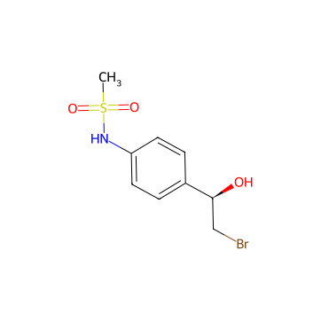 CS(=O)(=O)Nc1ccc([C@@H](O)CBr)cc1